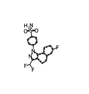 NS(=O)(=O)c1ccc(-n2nc(C(F)F)c3ccc4cc(F)ccc4c32)cc1